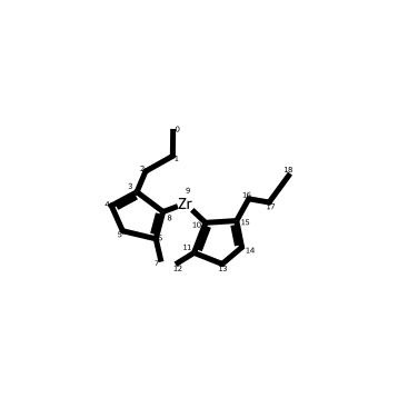 CCCC1=CCC(C)=[C]1[Zr][C]1=C(C)CC=C1CCC